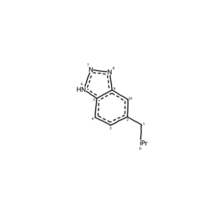 CC(C)Cc1ccc2[nH]nnc2c1